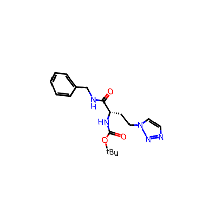 CC(C)(C)OC(=O)N[C@@H](CCn1ccnn1)C(=O)NCc1ccccc1